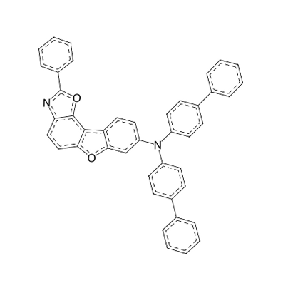 c1ccc(-c2ccc(N(c3ccc(-c4ccccc4)cc3)c3ccc4c(c3)oc3ccc5nc(-c6ccccc6)oc5c34)cc2)cc1